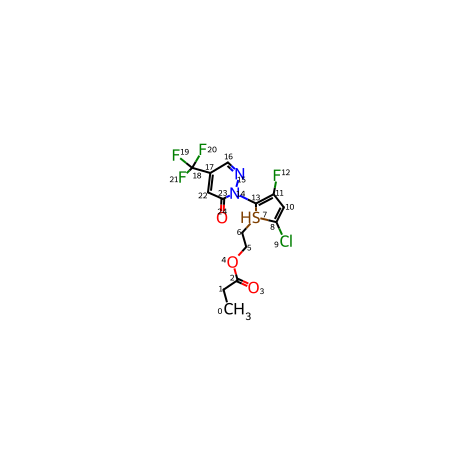 CCC(=O)OCC[SH]1C(Cl)=CC(F)=C1n1ncc(C(F)(F)F)cc1=O